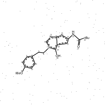 COc1ccc(CCn2cnc3nc(NC(=O)C(C)(C)C)cc-3c2O)cc1